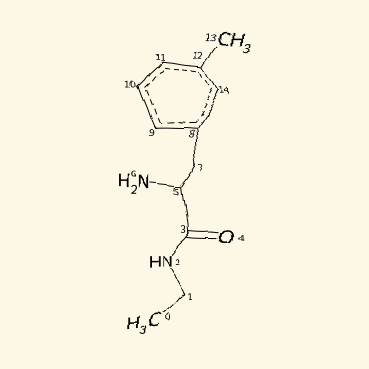 CCNC(=O)C(N)Cc1cccc(C)c1